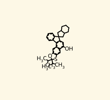 CC(C)C1(C(C)C)Oc2cc3c4c(cc(O)c3cc2S1)C1(CC2CCCCC2C1)c1ccccc1-4